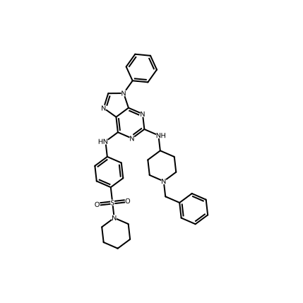 O=S(=O)(c1ccc(Nc2nc(NC3CCN(Cc4ccccc4)CC3)nc3c2ncn3-c2ccccc2)cc1)N1CCCCC1